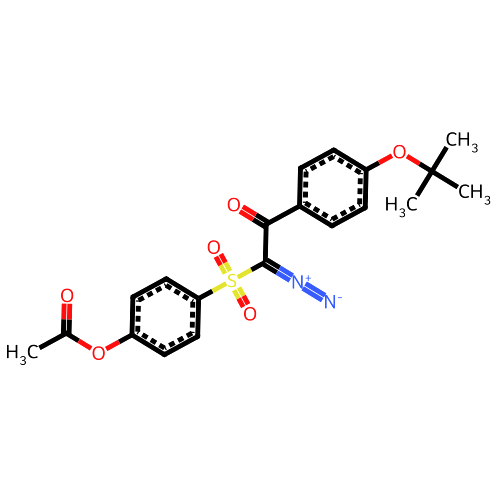 CC(=O)Oc1ccc(S(=O)(=O)C(=[N+]=[N-])C(=O)c2ccc(OC(C)(C)C)cc2)cc1